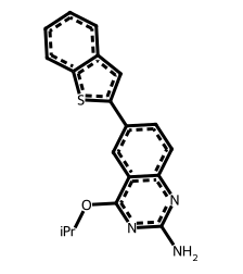 CC(C)Oc1nc(N)nc2ccc(-c3cc4ccccc4s3)cc12